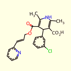 CC1=C(C(=O)O)C(c2cccc(Cl)c2)C(C(=O)OCC=Cc2ccccn2)=C(C)N1